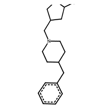 CCC1CCC(CN2CCC(Cc3ccccc3)CC2)C1